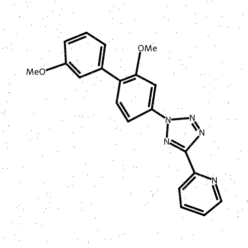 COc1cccc(-c2ccc(-n3nnc(-c4ccccn4)n3)cc2OC)c1